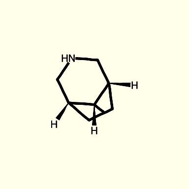 C[C@@H]1[C@@H]2CC[C@H]1CNC2